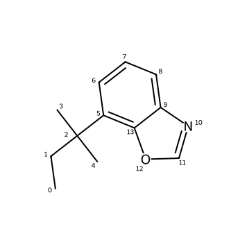 CCC(C)(C)c1cccc2ncoc12